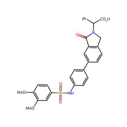 COc1ccc(S(=O)(=O)Nc2ccc(-c3ccc4c(c3)C(=O)N(C(C(=O)O)C(C)C)C4)cc2)cc1OC